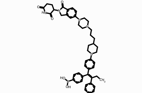 CC/C(=C(/c1ccc(B(O)O)cc1)c1ccc(N2CCC(CCCN3CCN(c4ccc5c(c4)CN(C4CCC(=O)NC4=O)C5=O)CC3)CC2)cc1)c1ccccc1